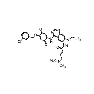 CCOc1cc2ncnc(NC3=CC(=O)C(OCc4cccc(Cl)c4)=CC3=O)c2cc1NC(=O)C=CCN(C)C